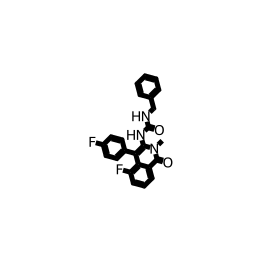 Cn1c(NC(=O)NCc2ccccc2)c(-c2ccc(F)cc2)c2c(F)cccc2c1=O